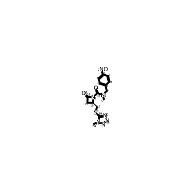 CN(Cc1ccc(N=O)cc1)C(=O)N1C(=O)C[C@@H]1CSc1nnnn1C